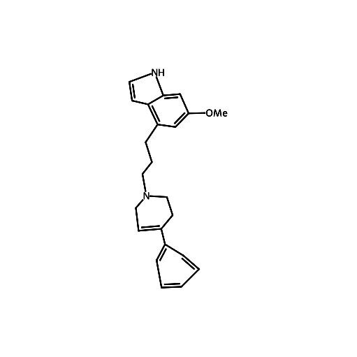 COc1cc(CCCN2CC=C(c3ccccc3)CC2)c2cc[nH]c2c1